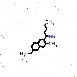 CCCCC(=N)c1cc2ccc(CC)cc2cc1C